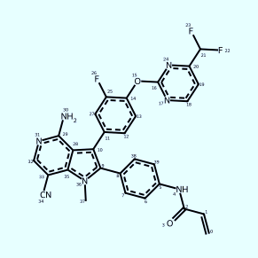 C=CC(=O)Nc1ccc(-c2c(-c3ccc(Oc4nccc(C(F)F)n4)c(F)c3)c3c(N)ncc(C#N)c3n2C)cc1